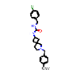 COc1ccc(CN2CCC3(CC(NC(=O)NCc4ccc(Cl)cc4)C3)C2)cc1